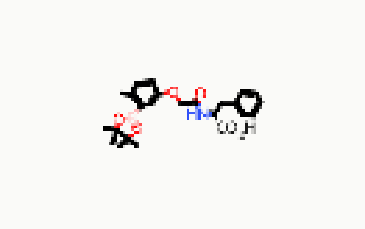 Cc1ccc(OCC(=O)N[C@@H](Cc2ccccc2)C(=O)O)cc1B1OC(C)(C)C(C)(C)O1